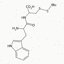 CC(C)(C)SSCC(NC(=O)C(N)Cc1c[nH]c2ccccc12)C(=O)O